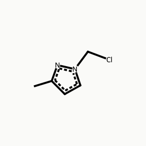 Cc1ccn(CCl)n1